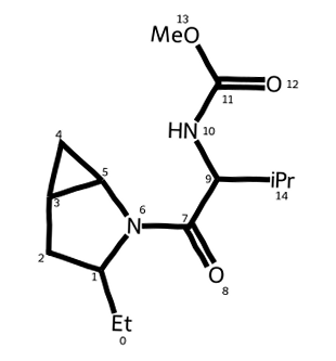 CCC1CC2CC2N1C(=O)C(NC(=O)OC)C(C)C